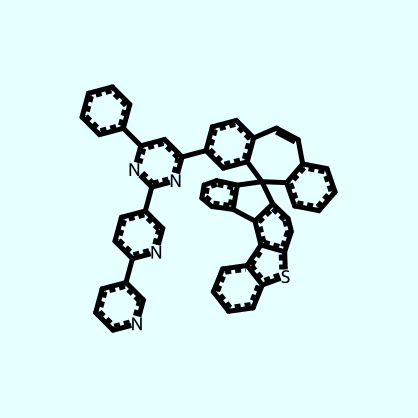 C1=Cc2ccc(-c3cc(-c4ccccc4)nc(-c4ccc(-c5cccnc5)nc4)n3)cc2C2(c3ccccc31)c1ccccc1-c1c2ccc2sc3ccccc3c12